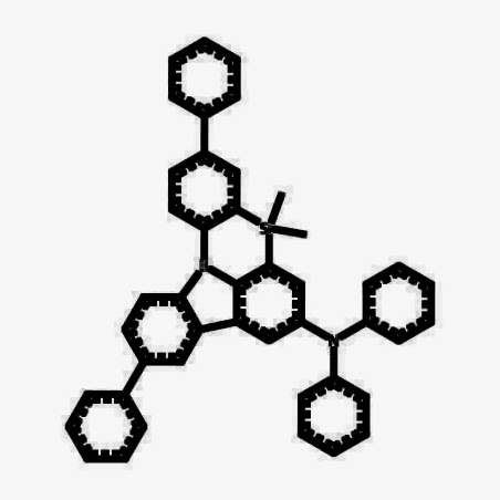 C[Si]1(C)c2cc(-c3ccccc3)ccc2B2c3ccc(-c4ccccc4)cc3-c3cc(N(c4ccccc4)c4ccccc4)cc1c32